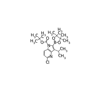 CC(C)c1c(B2OC(C)(C)C(C)(C)O2)n(C(=O)OC(C)(C)C)c2ccc(Cl)nc12